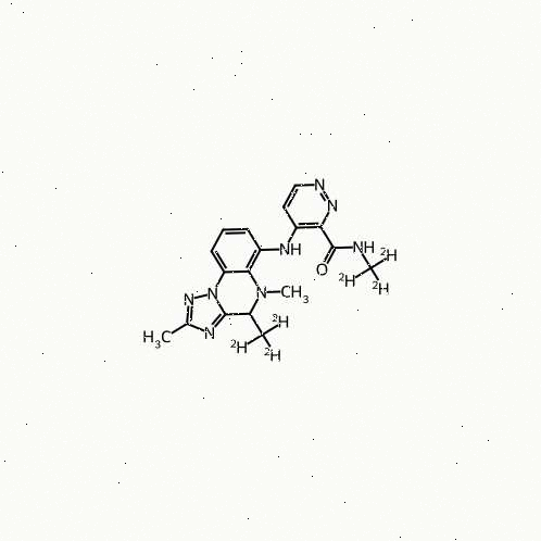 [2H]C([2H])([2H])NC(=O)c1nnccc1Nc1cccc2c1N(C)C(C([2H])([2H])[2H])c1nc(C)nn1-2